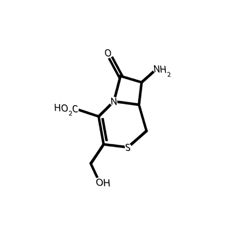 NC1C(=O)N2C(C(=O)O)=C(CO)SCC12